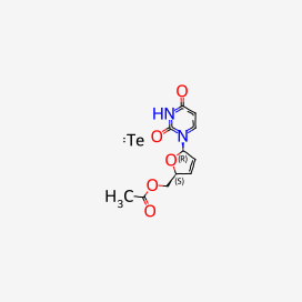 CC(=O)OC[C@@H]1C=C[C@H](n2ccc(=O)[nH]c2=O)O1.[Te]